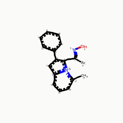 CC(=O)/C(=N\O)c1c(-c2ccccc2)cc2cccc(C)n12